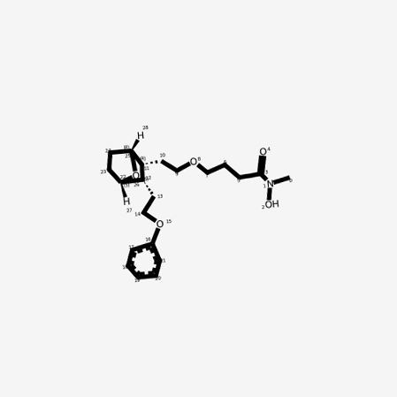 CN(O)C(=O)CCCOCC[C@@H]1[C@H](CCOc2ccccc2)[C@@H]2CC[C@H]1O2